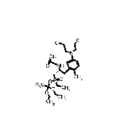 CCOC(C)(OCC)OP(=O)(CC)C[C@@H](Cc1cc(N(CCCl)CCCl)ccc1C)NC(=O)O